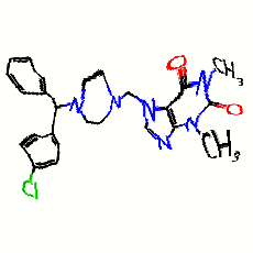 Cn1c(=O)c2c(ncn2CN2CCN(C(c3ccccc3)c3ccc(Cl)cc3)CC2)n(C)c1=O